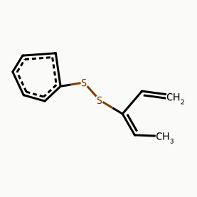 C=C/C(=C\C)SSc1ccccc1